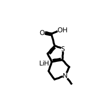 CN1CCc2cc(C(=O)O)sc2C1.[LiH]